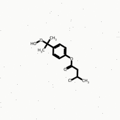 CC(Cl)CC(=O)Oc1ccc(C(C)(C)OO)cc1